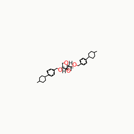 CC1CCC(c2ccc(CO[C@H]3CO[C@H]4[C@@H]3OC[C@H]4OCc3ccc(C4CCC(C)CC4)cc3)cc2)CC1